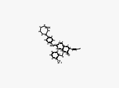 CC#Cc1cc2cnc(Nc3ccc(C4CCCCNC4)cc3)nc2n(Cc2ccccc2C(F)(F)F)c1=O